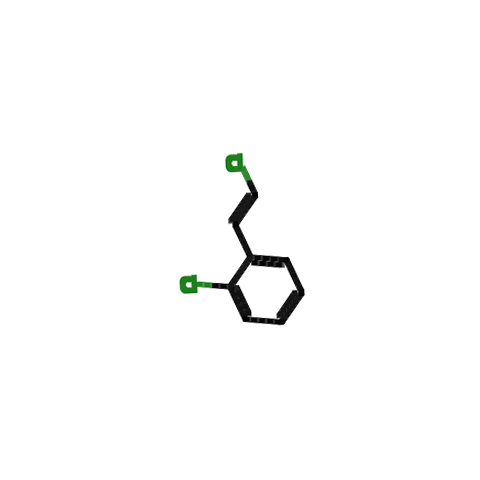 ClC=Cc1ccccc1Cl